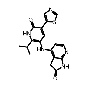 CC(C)c1[nH]c(=O)c(-c2cncs2)cc1Nc1ccnc2c1CC(=O)N2